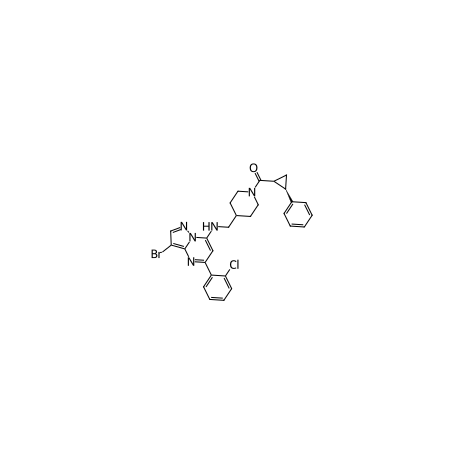 O=C(C1C[C@H]1c1ccccc1)N1CCC(CNc2cc(-c3ccccc3Cl)nc3c(Br)cnn23)CC1